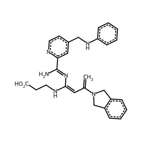 C=C(/C=C(\N=C(/N)c1cc(CNc2ccccc2)ccn1)NCCC(=O)O)N1Cc2ccccc2C1